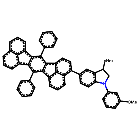 CCCCCCC1CN(c2cccc(OC)c2)c2ccc(-c3ccc4c5c(-c6ccccc6)c6c7cccc8cccc(c6c(-c6ccccc6)c5c5cccc3c54)c87)cc21